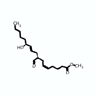 CCCCC[C@H](O)/C=C/C[C@H](C=O)C/C=C\CCCC(=O)OC